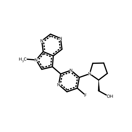 Cn1cc(-c2ncc(F)c(N3CCC[C@H]3CO)n2)c2cncnc21